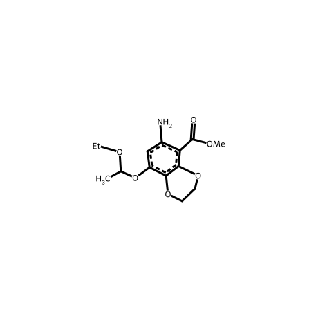 CCOC(C)Oc1cc(N)c(C(=O)OC)c2c1OCCO2